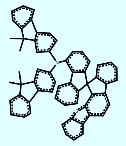 CC1(C)c2ccccc2-c2ccc(N(c3ccc4c(c3)C(C)(C)c3ccccc3-4)c3cccc4c3-c3ccccc3C43c4ccccc4-c4ccc5c(sc6ccccc65)c43)cc21